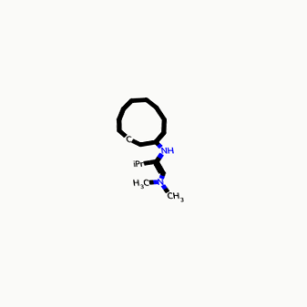 CC(C)/C(=C\N(C)C)NC1CCCCCCCCCC1